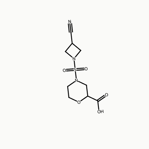 N#CC1CN(S(=O)(=O)N2CCOC(C(=O)O)C2)C1